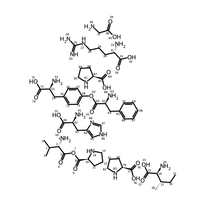 CC(C)[C@H](N)C(=O)OC(=O)[C@@H]1CCCN1.CC[C@H](C)[C@H](N)C(=O)O.N=C(N)NCCC[C@H](N)C(=O)O.NCC(=O)O.N[C@@H](Cc1c[nH]cn1)C(=O)O.N[C@@H](Cc1ccc(OC(=O)[C@@H](N)Cc2ccccc2)cc1)C(=O)O.O=C(O)[C@@H]1CCCN1.O=C(O)[C@@H]1CCCN1